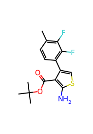 Cc1ccc(-c2csc(N)c2C(=O)OC(C)(C)C)c(F)c1F